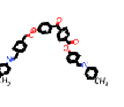 Cc1ccc(/N=C/c2ccc(COOc3ccc(C(=O)c4ccc(C(=O)Oc5ccc(/C=N/c6ccc(C)cc6)cc5)cc4)cc3)cc2)cc1